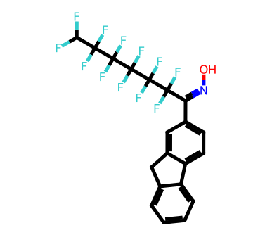 O/N=C(/c1ccc2c(c1)Cc1ccccc1-2)C(F)(F)C(F)(F)C(F)(F)C(F)(F)C(F)(F)C(F)F